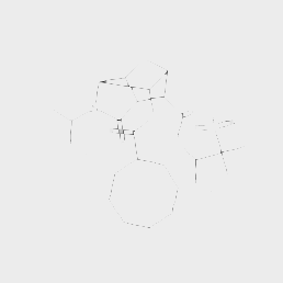 CC(C)N1C(=O)C2C3OC(C(OC(=O)C4CCCCCCC4)C31)C2C(=O)OC(C)C(F)(F)S(=O)(=O)O